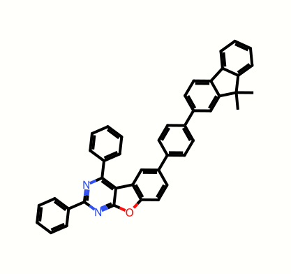 CC1(C)c2ccccc2-c2ccc(-c3ccc(-c4ccc5oc6nc(-c7ccccc7)nc(-c7ccccc7)c6c5c4)cc3)cc21